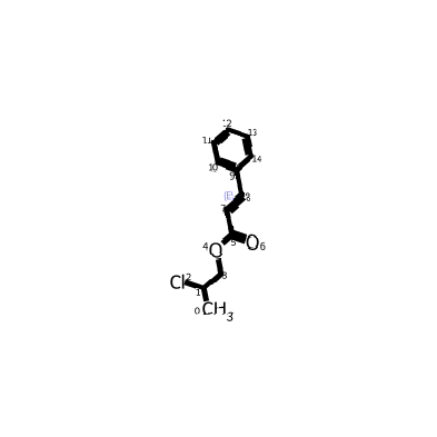 CC(Cl)COC(=O)/C=C/c1ccccc1